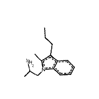 CCCc1c(C)n(CC(C)N)c2ccccc12